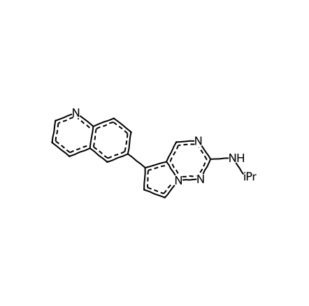 CC(C)Nc1ncc2c(-c3ccc4ncccc4c3)ccn2n1